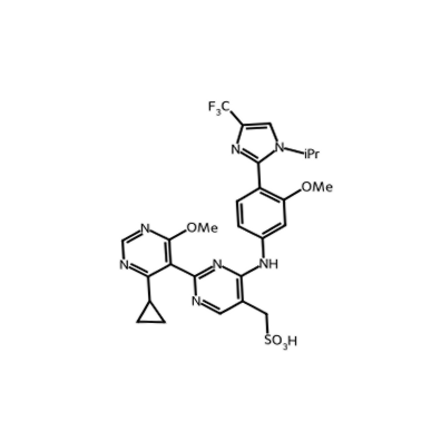 COc1cc(Nc2nc(-c3c(OC)ncnc3C3CC3)ncc2CS(=O)(=O)O)ccc1-c1nc(C(F)(F)F)cn1C(C)C